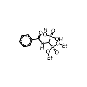 CCOP(=O)(OCC)C(NC(=O)c1ccccc1)P(=O)(O)O